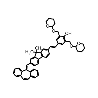 CC1(C)c2cc(C=Cc3cc(COC4CCCCO4)c(O)c(COC4CCCCO4)c3)ccc2-c2ccc(C=C3c4ccccc4C=Cc4ccccc43)cc21